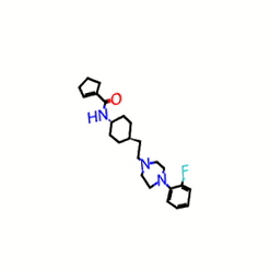 O=C(N[C@H]1CC[C@H](CCN2CCN(c3ccccc3F)CC2)CC1)C1=CCCC1